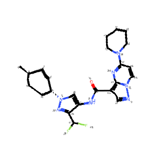 C[C@H]1CC[C@H](n2cc(NC(=O)c3cnn4ccc(N5CCCCC5)nc34)c(C(F)F)n2)CC1